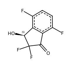 O=C1c2c(F)ccc(F)c2[C@H](O)C1(F)F